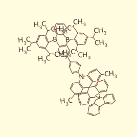 Cc1ccc2c(c1)C1(c3cc(C)ccc3N2c2ccc(-c3ccc4c(c3)B(c3c(C(C)C)cc(C(C)C)cc3C(C)C)c3ccccc3B4c3c(C(C)C)cc(C(C)C)cc3C(C)C)cc2)c2ccccc2[Si]2(c3ccccc3-c3ccccc32)c2ccccc21